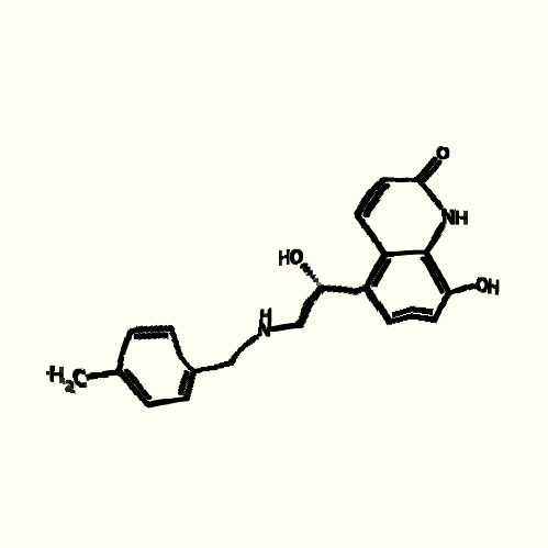 [CH2]c1ccc(CNC[C@H](O)c2ccc(O)c3[nH]c(=O)ccc23)cc1